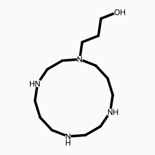 OCCCN1CCCNCCNCCCNCC1